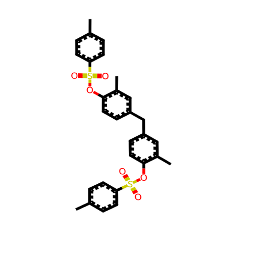 Cc1ccc(S(=O)(=O)Oc2ccc(Cc3ccc(OS(=O)(=O)c4ccc(C)cc4)c(C)c3)cc2C)cc1